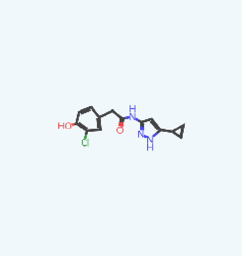 O=C(Cc1ccc(O)c(Cl)c1)Nc1cc(C2CC2)[nH]n1